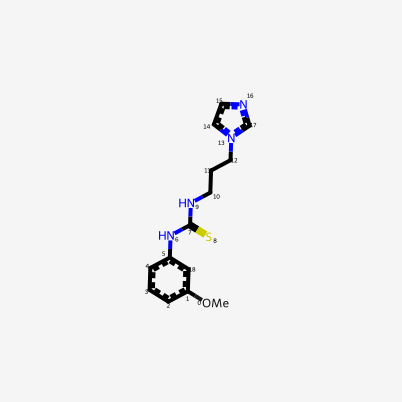 COc1cccc(NC(=S)NCCCn2ccnc2)c1